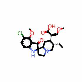 CC[C@@H]1CN2CCC3(Nc4ccc(Cl)c(OC)c4C3=O)C2C[C@@H]1C(=COC)C(=O)O